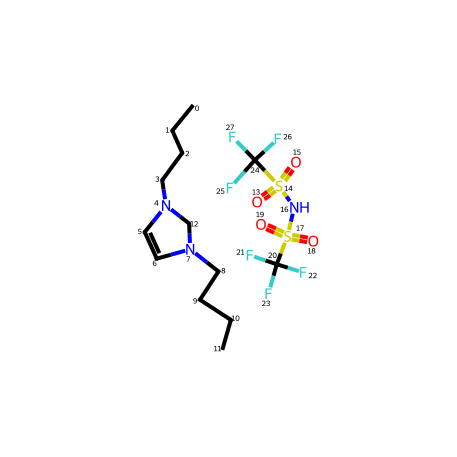 CCCCN1C=CN(CCCC)C1.O=S(=O)(NS(=O)(=O)C(F)(F)F)C(F)(F)F